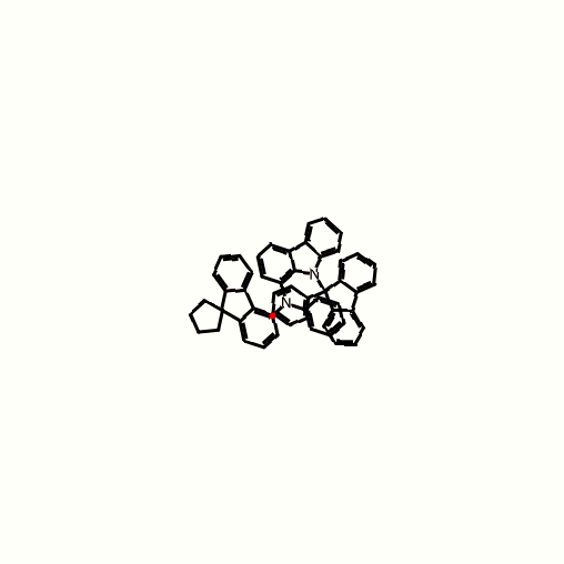 c1ccc(N(c2cccc3c2-c2ccccc2C32CCCC2)c2cccc3c4ccccc4n(C4(c5ccccc5)c5ccccc5-c5ccccc54)c23)cc1